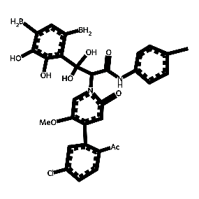 Bc1cc(B)c(C(O)(O)C(C(=O)Nc2ccc(C)cc2)n2cc(OC)c(-c3cc(Cl)ccc3C(C)=O)cc2=O)c(O)c1O